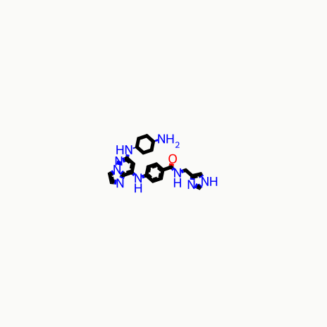 N[C@H]1CC[C@H](Nc2cc(Nc3ccc(C(=O)NCc4c[nH]cn4)cc3)c3nccn3n2)CC1